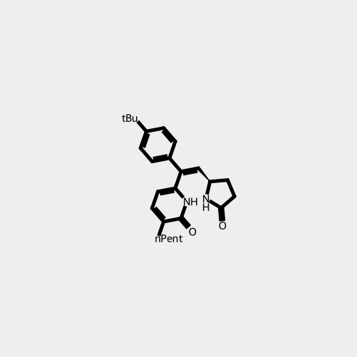 CCCCCc1ccc(/C(=C\[C@H]2CCC(=O)N2)c2ccc(C(C)(C)C)cc2)[nH]c1=O